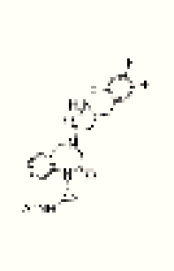 CC(=O)NC1CC1N1C(=O)CN(C(=O)CC(N)Cc2cc(F)c(F)cc2F)Cc2ccccc21